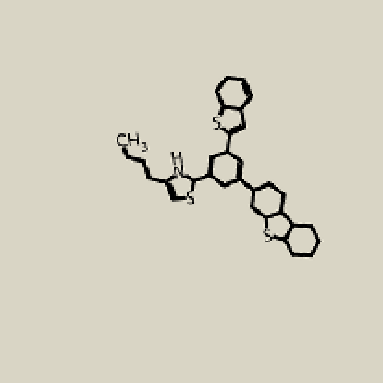 CCCCC1=CSC(C2CC(C3CCC4C(C3)SC3CCCCC34)=CC(C3=CC4C=CCCC4S3)C2)N1